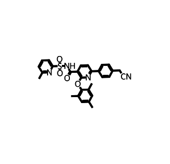 Cc1cc(C)c(Oc2nc(-c3ccc(CC#N)cc3)ccc2C(=O)NS(=O)(=O)c2cccc(C)n2)c(C)c1